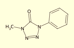 Cn1nnn(-c2ccccc2)c1=O